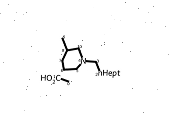 CC(=O)O.CCCCCCCCN1CCCC(C)C1